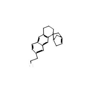 CCCc1ccc2cc3c(cc2c1)C1(CCC3)CC2=CCC1C2